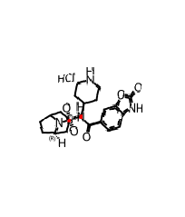 Cl.O=C(N[C@H]1CC2CC[C@H](C1)N2S(=O)(=O)CC1CCNCC1)c1ccc2[nH]c(=O)oc2c1